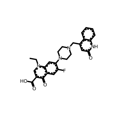 CCn1cc(C(=O)O)c(=O)c2cc(F)c(N3CCN(Cc4cc(=O)[nH]c5ccccc45)CC3)cc21